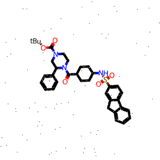 CC(C)(C)OC(=O)N1CCN(C(=O)C2CCC(NS(=O)(=O)c3ccc4c(c3)Cc3ccccc3-4)CC2)C(c2ccccc2)C1